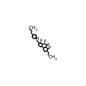 C=CCCc1ccc(OCc2ccc3c(c2F)C(F)C(F)c2c-3ccc(CCC)c2F)cc1